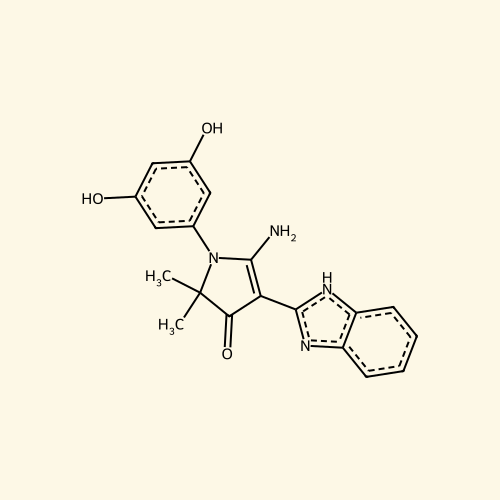 CC1(C)C(=O)C(c2nc3ccccc3[nH]2)=C(N)N1c1cc(O)cc(O)c1